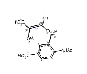 CC(=O)Nc1ccc(C(=O)O)cc1F.O=C(O)/C(O)=C(\O)C(=O)O